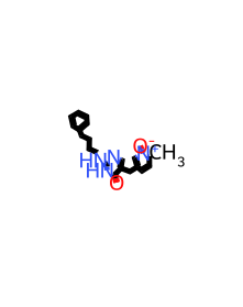 Cc1ccc(Cc2cnc(NCCCCc3ccccc3)[nH]c2=O)c[n+]1[O-]